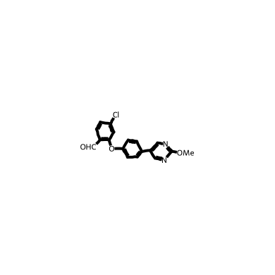 COc1ncc(-c2ccc(Oc3cc(Cl)ccc3C=O)cc2)cn1